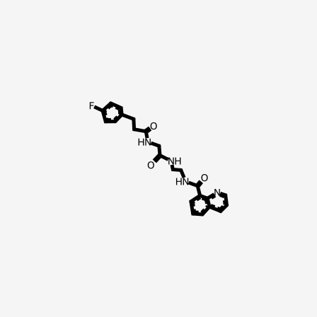 O=C(CCc1ccc(F)cc1)NCC(=O)NCCNC(=O)c1cccc2cccnc12